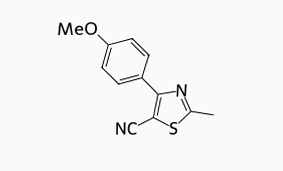 COc1ccc(-c2nc(C)sc2C#N)cc1